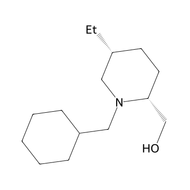 CC[C@@H]1CC[C@H](CO)N(CC2CCCCC2)C1